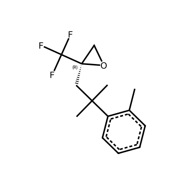 Cc1ccccc1C(C)(C)C[C@]1(C(F)(F)F)CO1